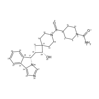 NC(=O)N1CCC(C(=O)N2CCC3(CC2)C[C@@H]([C@H]2c4ccccc4-c4cncn42)[C@H]3O)CC1